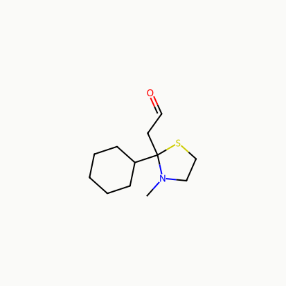 CN1CCSC1(CC=O)C1CCCCC1